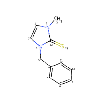 Cn1ccn(Cc2ccccc2)c1=S